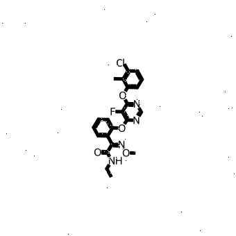 CCNC(=O)C(=NOC)c1ccccc1Oc1ncnc(Oc2cccc(Cl)c2C)c1F